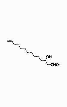 C=CCCCCCCCCCC(O)C[C]=O